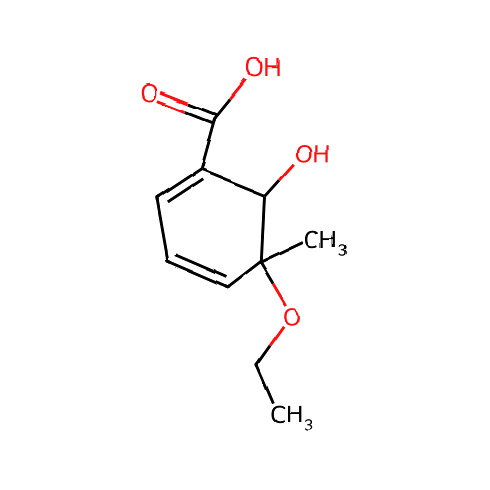 CCOC1(C)C=CC=C(C(=O)O)C1O